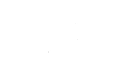 COC(=O)c1cc(OC(C)(C)C)ccc1C